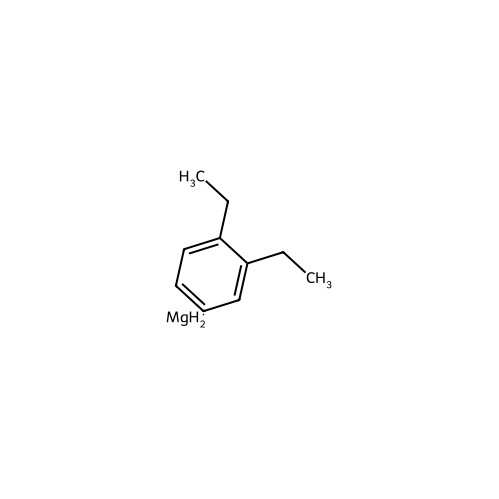 CCc1c[c]ccc1CC.[MgH2]